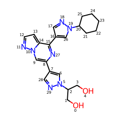 OCC(CO)n1cc(-c2cn3nccc3c(-c3cnn(C4CCCCC4)c3)n2)cn1